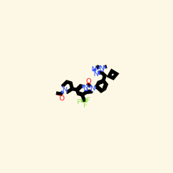 CC(=O)N1CCCC(c2cc(C(F)(F)F)c3cn(-c4cccc([C@H](c5nncn5C)C5CCC5)c4)c(=O)n3c2)C1